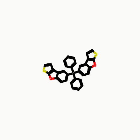 c1ccc([Si](c2ccccc2)(c2ccc3oc4sccc4c3c2)c2ccc3oc4sccc4c3c2)cc1